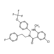 CNc1ccc(Cl)cc1C(=O)N(CCc1ccc(F)cc1)Cc1ccc(OC(F)(F)F)cc1